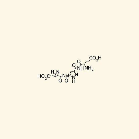 N[C@@H](CCC(=O)O)C(=O)NC(=O)c1cc(C(=O)NC(=O)[C@@H](N)CCC(=O)O)[nH]n1